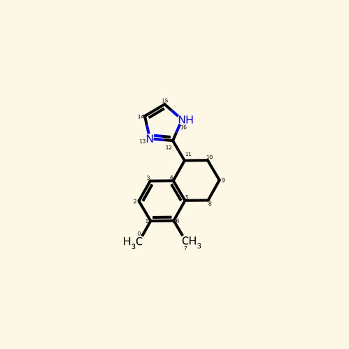 Cc1ccc2c(c1C)CCCC2c1ncc[nH]1